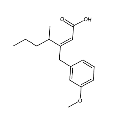 CCCC(C)C(=CC(=O)O)Cc1cccc(OC)c1